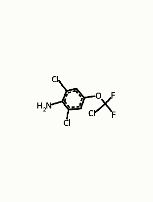 Nc1c(Cl)cc(OC(F)(F)Cl)cc1Cl